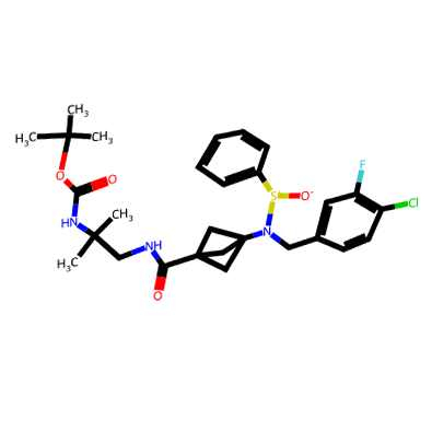 CC(C)(CNC(=O)C12CC(N(Cc3ccc(Cl)c(F)c3)[S+]([O-])c3ccccc3)(C1)C2)NC(=O)OC(C)(C)C